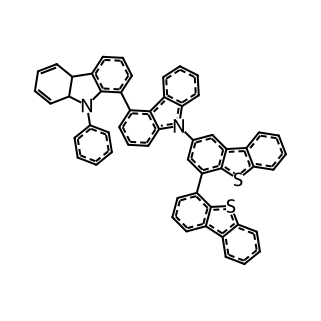 C1=CC2c3cccc(-c4cccc5c4c4ccccc4n5-c4cc(-c5cccc6c5sc5ccccc56)c5sc6ccccc6c5c4)c3N(c3ccccc3)C2C=C1